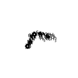 CC(C)(C)[Si](C)(C)OCCn1cc(Sc2ccc3c(=O)n(Cc4ccn(C5CCCCO5)n4)ncc3c2)cn1